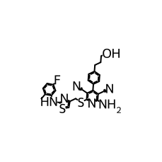 Cc1ccc(F)cc1Nc1nc(CSc2nc(N)c(C#N)c(-c3ccc(CCCO)cc3)c2C#N)cs1